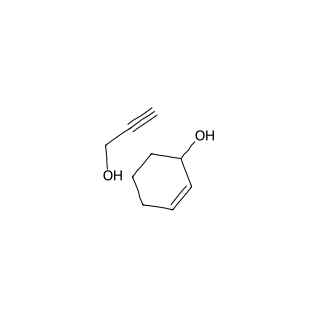 C#CCO.OC1C=CCCC1